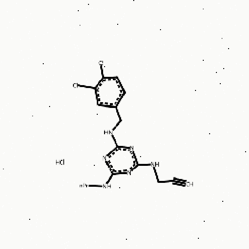 C#CCNc1nc(NCCC)nc(NCc2ccc(Cl)c(Cl)c2)n1.Cl